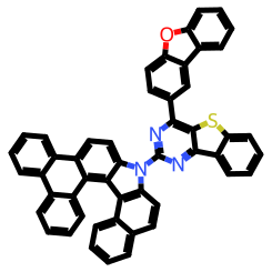 c1ccc2c(c1)ccc1c2c2c3c4ccccc4c4ccccc4c3ccc2n1-c1nc(-c2ccc3oc4ccccc4c3c2)c2sc3ccccc3c2n1